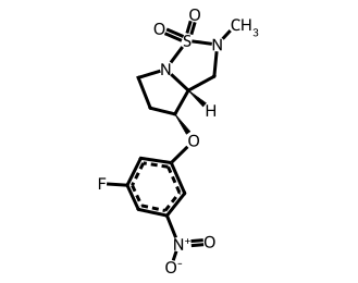 CN1C[C@@H]2[C@@H](Oc3cc(F)cc([N+](=O)[O-])c3)CCN2S1(=O)=O